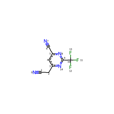 N#CCc1cc(C#N)nc(C(F)(F)F)n1